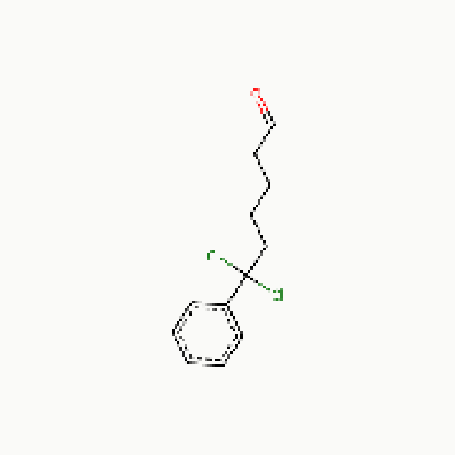 O=CCCCCC(Cl)(Cl)c1ccccc1